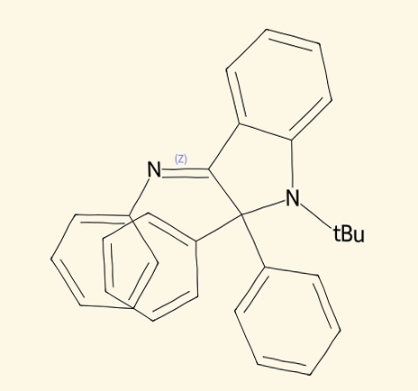 CC(C)(C)N1c2ccccc2/C(=N/c2ccccc2)C1(c1ccccc1)c1ccccc1